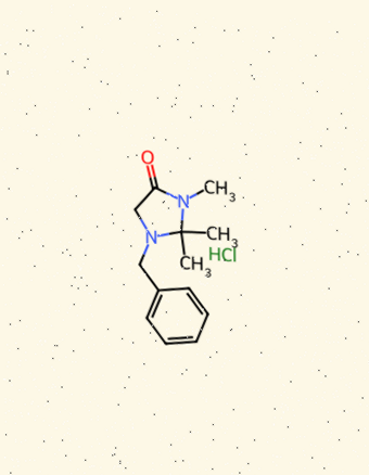 CN1C(=O)CN(Cc2ccccc2)C1(C)C.Cl